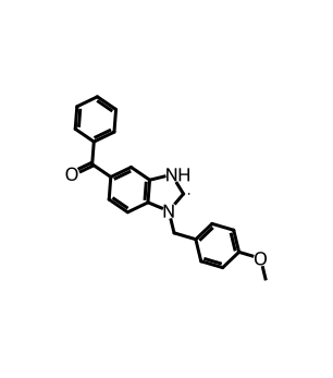 COc1ccc(CN2[CH]Nc3cc(C(=O)c4ccccc4)ccc32)cc1